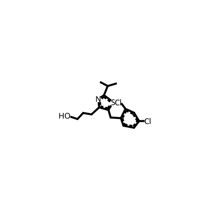 CC(C)c1nc(CCCO)c(Cc2ccc(Cl)cc2Cl)s1